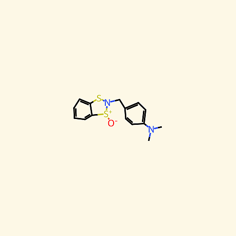 CN(C)c1ccc(CN2Sc3ccccc3[S+]2[O-])cc1